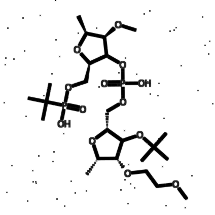 COCCO[C@H]1C(OC(C)(C)C)[C@@H](COP(=O)(O)OC2[C@@H](COP(=O)(O)C(C)(C)C)O[C@@H](C)[C@H]2OC)O[C@H]1C